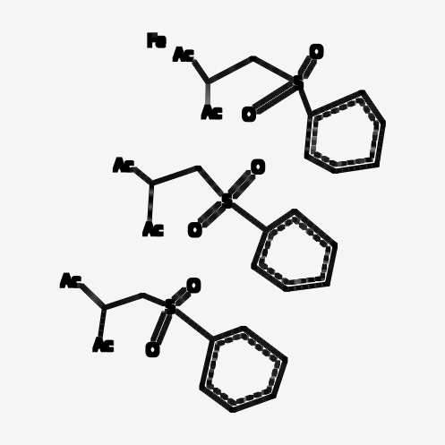 CC(=O)C(CS(=O)(=O)c1ccccc1)C(C)=O.CC(=O)C(CS(=O)(=O)c1ccccc1)C(C)=O.CC(=O)C(CS(=O)(=O)c1ccccc1)C(C)=O.[Fe]